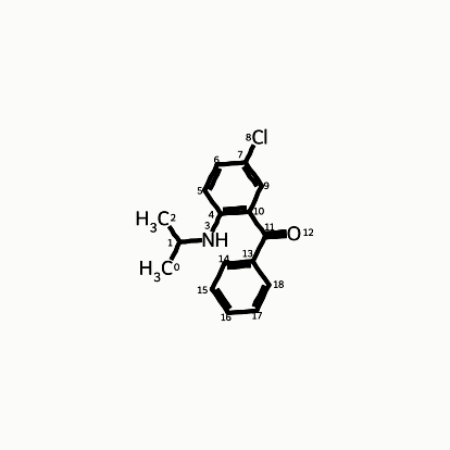 CC(C)Nc1ccc(Cl)cc1C(=O)c1ccccc1